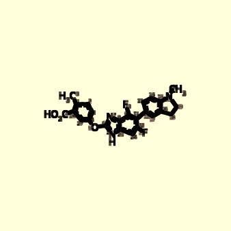 Cc1ccc(Oc2nc3c(F)c(-c4ccc5c(c4)CCN5C)c(F)cc3[nH]2)cc1C(=O)O